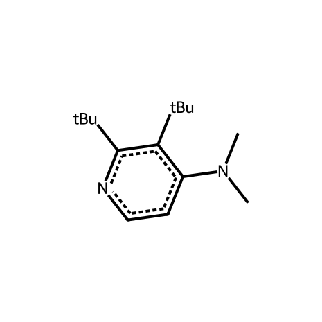 CN(C)c1ccnc(C(C)(C)C)c1C(C)(C)C